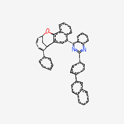 C1=CC2CC(C(c3ccccc3)=C1)c1cc(-c3nc(-c4ccc(-c5ccc6ccccc6c5)cc4)nc4ccccc34)c3ccccc3c1O2